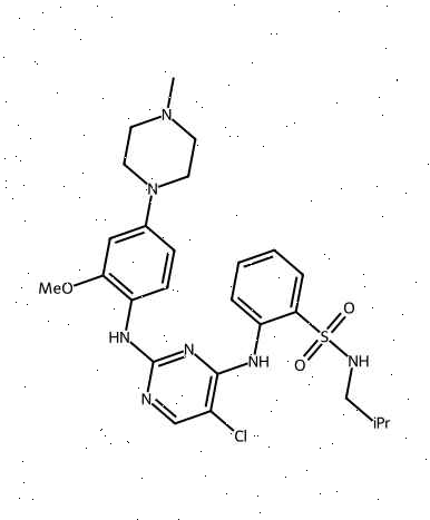 COc1cc(N2CCN(C)CC2)ccc1Nc1ncc(Cl)c(Nc2ccccc2S(=O)(=O)NCC(C)C)n1